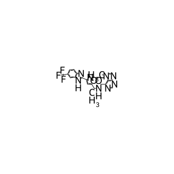 C[C@H](NC(=O)c1ncnc2ncn(C)c12)c1cc(-c2nc3ccc(C(F)(F)F)cc3[nH]2)no1